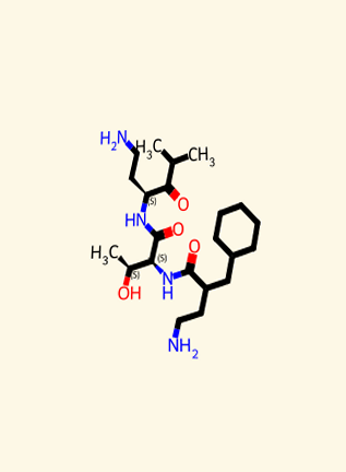 CC(C)C(=O)[C@H](CCN)NC(=O)[C@@H](NC(=O)C(CCN)CC1CCCCC1)[C@H](C)O